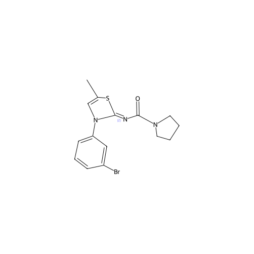 Cc1cn(-c2cccc(Br)c2)/c(=N/C(=O)N2CCCC2)s1